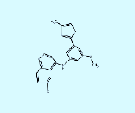 COc1cc(Nc2ccnc3ccc(Cl)cc23)cc(-c2cc(C)cs2)c1